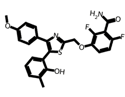 COc1ccc(-c2nc(COc3ccc(F)c(C(N)=O)c3F)sc2-c2cccc(C)c2O)cc1